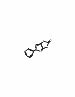 S=c1sc2cn(-c3ccccc3)nc2s1